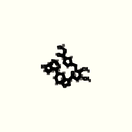 CC(CCC1CCN(C(=O)OC(C)(C)C)C1)[C@H](C)CC(=O)c1noc2c1CN(c1ncnc3[nH]ccc13)CC2